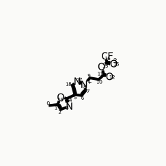 Cc1cnc(-c2cc[n+](CCC(=O)OC(=O)C(F)(F)F)nc2)o1